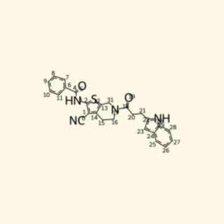 N#Cc1c(NC(=O)c2ccccc2)sc2c1CCN(C(=O)CCc1cc3ccccc3[nH]1)C2